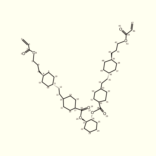 C=CC(=O)OCCC[C@H]1CC[C@H](CCC2CCC(C(=O)O[C@@H]3CCCC[C@H]3OC(=O)C3CCC(CC[C@H]4CC[C@H](CCCOC(=O)C=C)CC4)CC3)CC2)CC1